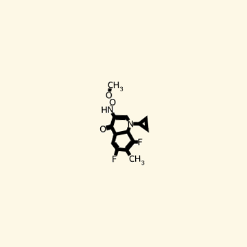 COONC1=CN(C2CC2)C2C(F)=C(C)C(F)=CC2C1=O